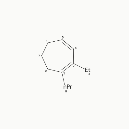 CCCC1=C(CC)C=CCCC1